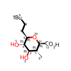 C[C@@H]1[C@@H](O)[C@H](O)[C@@H](CCC(C)(C)C)O[C@H]1C(=O)O